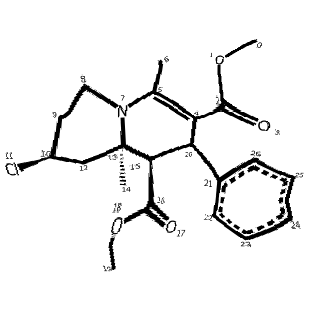 COC(=O)C1=C(C)N2CC[C@H](Cl)C[C@]2(C)[C@H](C(=O)OC)C1c1ccccc1